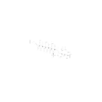 OCC(F)(F)C(F)(F)C(F)(F)C(F)(F)C(F)(F)C(F)(F)C(O)C(O)C(F)(F)C(F)(F)C(F)(F)F